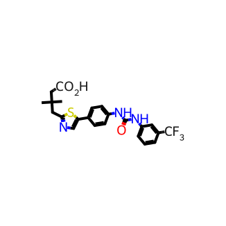 CC(C)(CC(=O)O)Cc1ncc(-c2ccc(NC(=O)Nc3cccc(C(F)(F)F)c3)cc2)s1